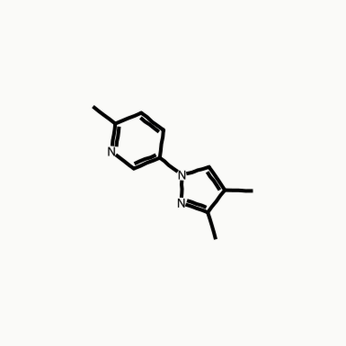 Cc1ccc(-n2cc(C)c(C)n2)cn1